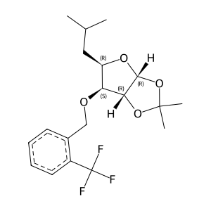 CC(C)C[C@H]1O[C@@H]2OC(C)(C)O[C@@H]2[C@H]1OCc1ccccc1C(F)(F)F